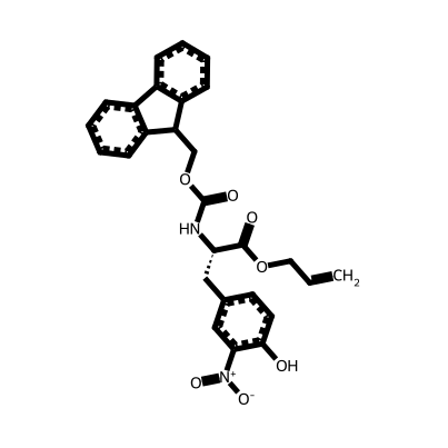 C=CCOC(=O)[C@H](Cc1ccc(O)c([N+](=O)[O-])c1)NC(=O)OCC1c2ccccc2-c2ccccc21